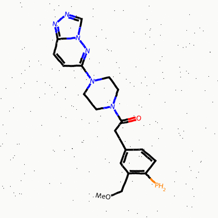 COCc1cc(CC(=O)N2CCN(c3ccc4nncn4n3)CC2)ccc1P